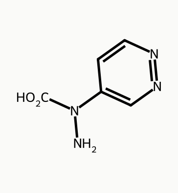 NN(C(=O)O)c1ccnnc1